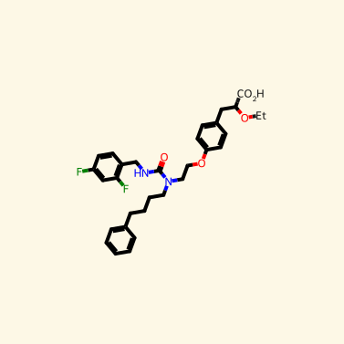 CCOC(Cc1ccc(OCCN(CCCCc2ccccc2)C(=O)NCc2ccc(F)cc2F)cc1)C(=O)O